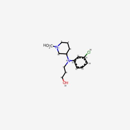 O=C(O)N1CCCC(N(CCCO)c2cccc(Cl)c2)C1